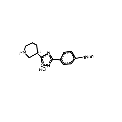 CCCCCCCCCc1ccc(-c2noc([C@@H]3CCCNC3)n2)cc1.Cl